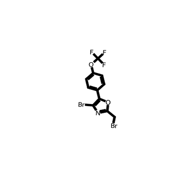 FC(F)(F)Oc1ccc(-c2oc(CBr)nc2Br)cc1